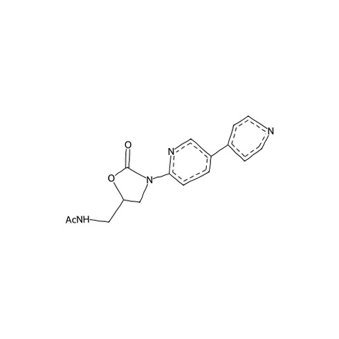 CC(=O)NCC1CN(c2ccc(-c3ccncc3)cn2)C(=O)O1